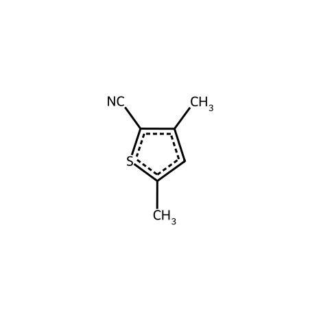 Cc1cc(C)c(C#N)s1